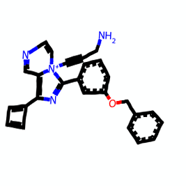 NCC#C[N+]12C=CN=CC1=C(C1=CC=C1)N=C2c1cccc(OCc2ccccc2)c1